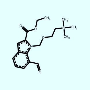 CCOC(=O)c1cc2cccc(C=O)c2n1COCC[Si](C)(C)C